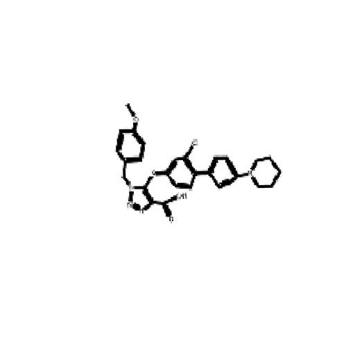 COc1ccc(Cn2nnc(C(=O)O)c2Sc2ccc(-c3ccc(N4CCCCC4)cc3)c(Cl)c2)cc1